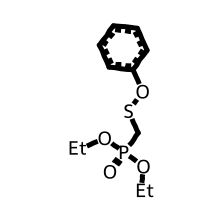 CCOP(=O)(CSOc1ccccc1)OCC